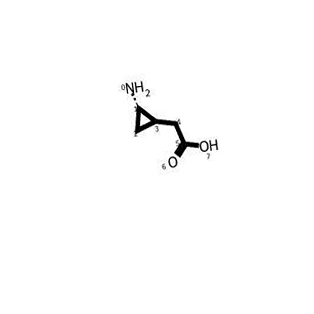 N[C@H]1CC1CC(=O)O